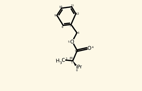 CC(C)[C@@H](C)C(=O)OCc1ccccc1